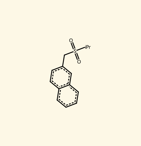 CC(C)S(=O)(=O)Cc1ccc2ccccc2c1